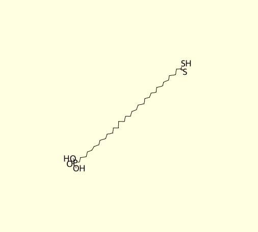 O=P(O)(O)CCCCCCCCCCCCCCCCCCCCCCCCCCCCCCCCC(=S)S